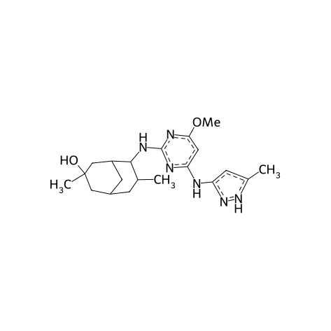 COc1cc(Nc2cc(C)[nH]n2)nc(NC2C(C)CC3CC2CC(C)(O)C3)n1